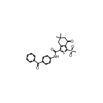 CC1(C)CC(=O)c2c(S(C)(=O)=O)sc(C(=O)Nc3ccc(C(=O)c4ccccc4)cc3)c2C1